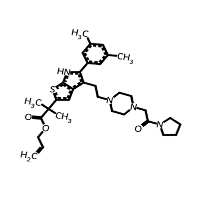 C=CCOC(=O)C(C)(C)c1cc2c(CCN3CCN(CC(=O)N4CCCC4)CC3)c(-c3cc(C)cc(C)c3)[nH]c2s1